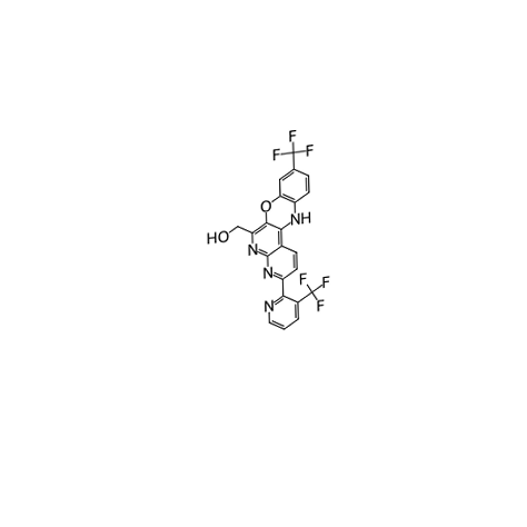 OCc1nc2nc(-c3ncccc3C(F)(F)F)ccc2c2c1Oc1cc(C(F)(F)F)ccc1N2